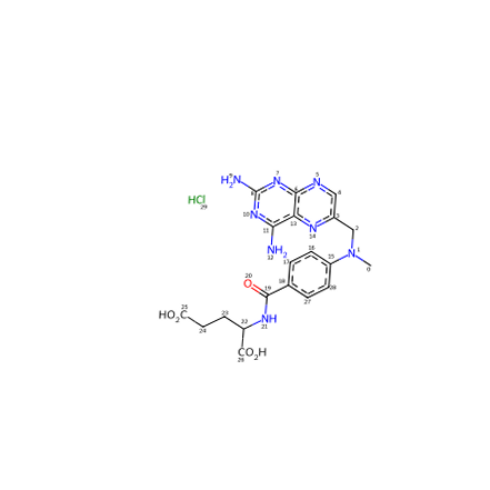 CN(Cc1cnc2nc(N)nc(N)c2n1)c1ccc(C(=O)NC(CCC(=O)O)C(=O)O)cc1.Cl